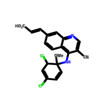 COC1(Nc2c(C#N)cnc3cc(/C=C/C(=O)O)ccc23)C=CC(Cl)=CC1Cl